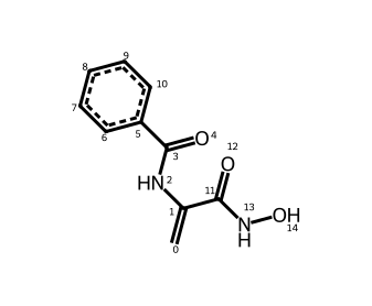 C=C(NC(=O)c1ccccc1)C(=O)NO